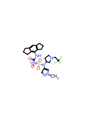 Cn1cc(N(C2CCN(CC(F)(F)F)C2)S(=O)(=O)[NH+]([O-])C(=O)Nc2c3c(cc4c2CCC4)CCC3)cn1